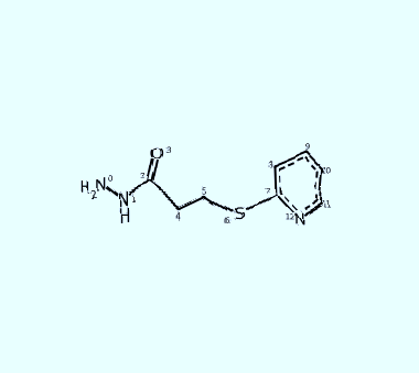 NNC(=O)CCSc1ccccn1